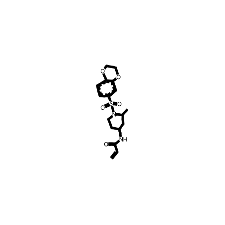 C=CC(=O)NC1CCN(S(=O)(=O)c2ccc3c(c2)OCCO3)C(C)C1